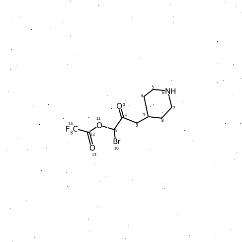 O=C(CC1CCNCC1)C(Br)OC(=O)C(F)(F)F